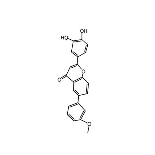 COc1cccc(-c2ccc3oc(-c4ccc(O)c(O)c4)cc(=O)c3c2)c1